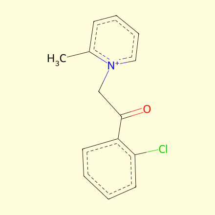 Cc1cccc[n+]1CC(=O)c1ccccc1Cl